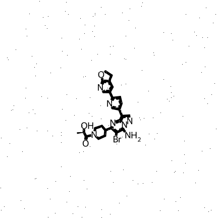 C[C@@H](O)C(=O)N1CCC(c2nc3c(-c4ccc(-c5cnc6c(c5)CCO6)nc4)cnn3c(N)c2Br)CC1